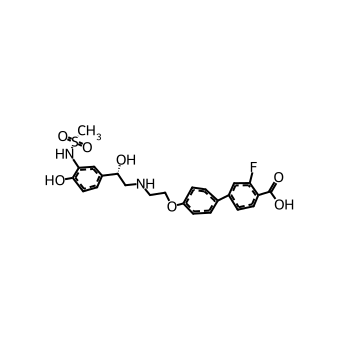 CS(=O)(=O)Nc1cc([C@H](O)CNCCOc2ccc(-c3ccc(C(=O)O)c(F)c3)cc2)ccc1O